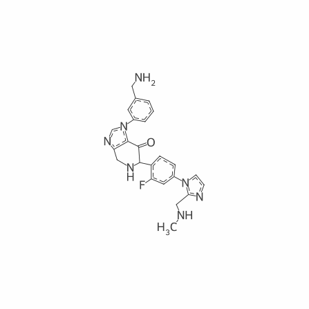 CNCc1nccn1-c1ccc(C2NCc3ncn(-c4cccc(CN)c4)c3C2=O)c(F)c1